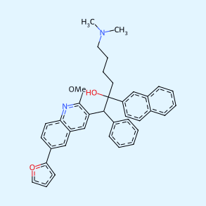 COc1nc2ccc(-c3ccco3)cc2cc1C(c1ccccc1)C(O)(CCCCN(C)C)c1ccc2ccccc2c1